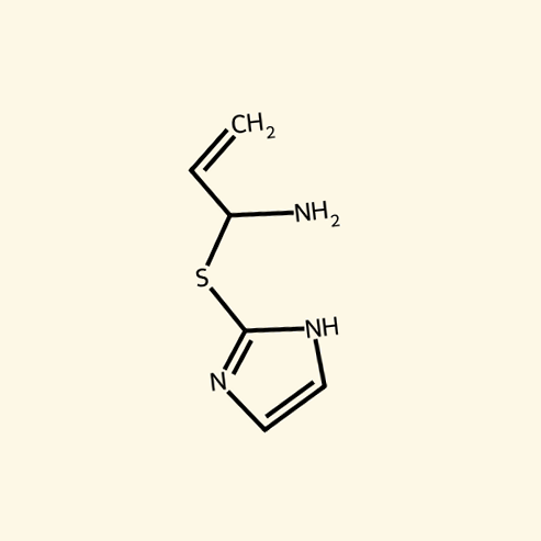 C=CC(N)Sc1ncc[nH]1